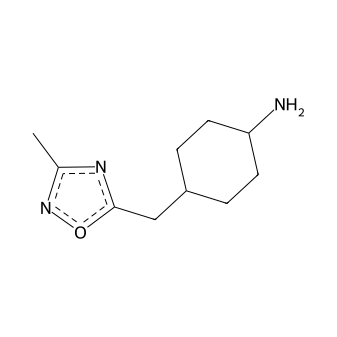 Cc1noc(CC2CCC(N)CC2)n1